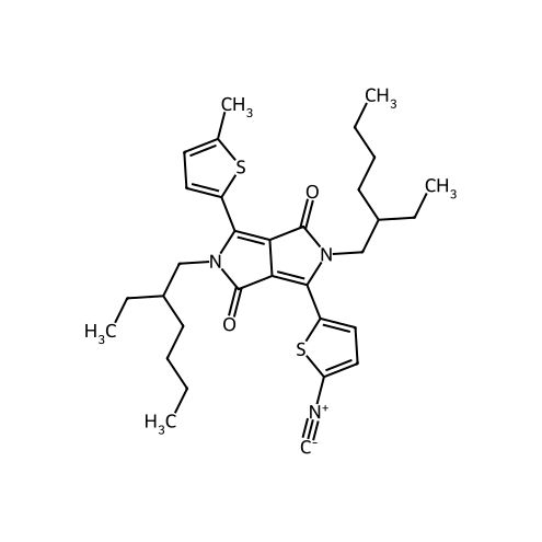 [C-]#[N+]c1ccc(C2=C3C(=O)N(CC(CC)CCCC)C(c4ccc(C)s4)=C3C(=O)N2CC(CC)CCCC)s1